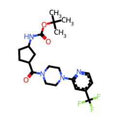 CC(C)(C)OC(=O)NC1CCC(C(=O)N2CCN(c3cc(C(F)(F)F)ccn3)CC2)C1